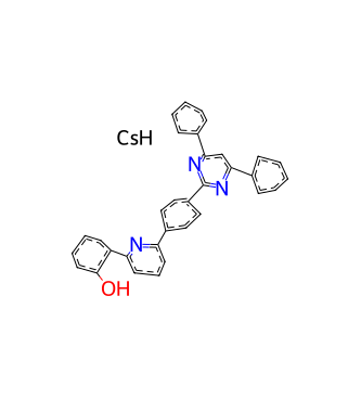 Oc1ccccc1-c1cccc(-c2ccc(-c3nc(-c4ccccc4)cc(-c4ccccc4)n3)cc2)n1.[CsH]